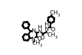 Cc1ccc(C(=O)N[C@@H](C)C(=O)NC2N=C(c3ccccc3)c3ccccc3N(C)C2=O)cc1